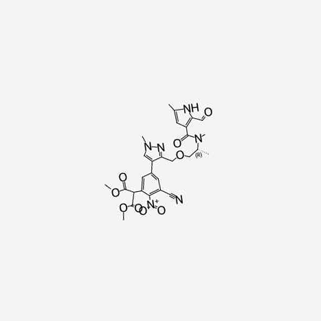 COC(=O)C(C(=O)OC)c1cc(-c2cn(C)nc2COC[C@@H](C)N(C)C(=O)c2cc(C)[nH]c2C=O)cc(C#N)c1[N+](=O)[O-]